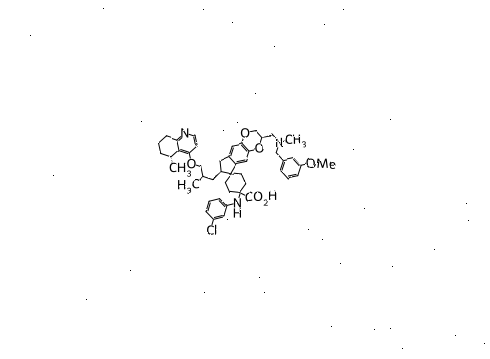 COc1cccc(CN(C)C[C@@H]2COc3cc4c(cc3O2)C2(CCC(Nc3cccc(Cl)c3)(C(=O)O)CC2)[C@@H](C[C@@H](C)COc2ccnc3c2[C@H](C)CCC3)C4)c1